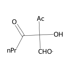 CCCC(=O)C(O)([C]=O)C(C)=O